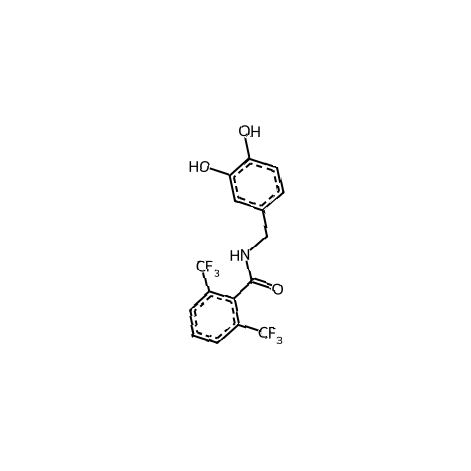 O=C(NCc1ccc(O)c(O)c1)c1c(C(F)(F)F)cccc1C(F)(F)F